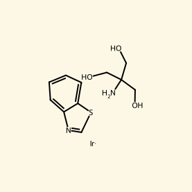 NC(CO)(CO)CO.[Ir].c1ccc2scnc2c1